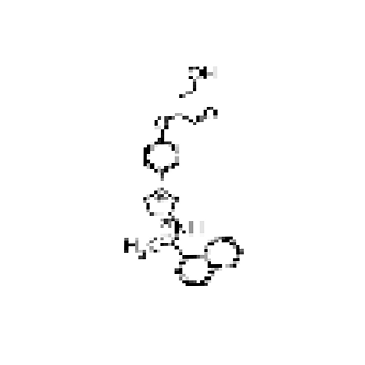 C[C@@H](N[C@H]1CC[C@@H](c2ccc(OC(C=O)CCO)cc2)C1)c1cccc2ccccc12